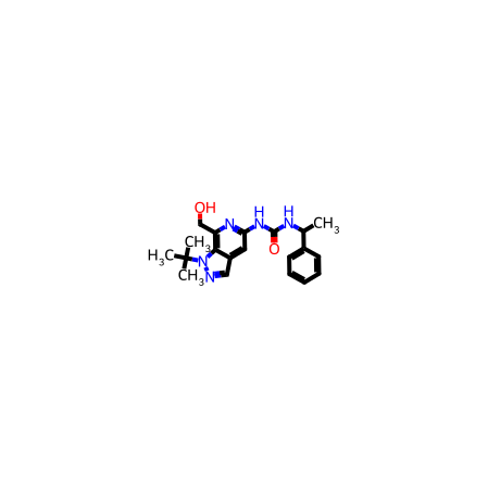 CC(NC(=O)Nc1cc2cnn(C(C)(C)C)c2c(CO)n1)c1ccccc1